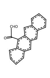 O=CC(=O)c1c2ccccc2cc2cc3ccccc3cc12